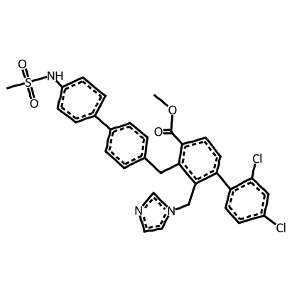 COC(=O)c1ccc(-c2ccc(Cl)cc2Cl)c(Cn2ccnc2)c1Cc1ccc(-c2ccc(NS(C)(=O)=O)cc2)cc1